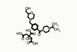 CC(C)N1CCN(C(=O)c2ccc(CN3CCOC(CO)C3)cc2)CC1.O=C(O)CC(O)(CC(=O)O)C(=O)O